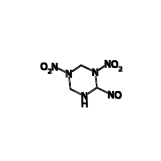 O=NC1NCN([N+](=O)[O-])CN1[N+](=O)[O-]